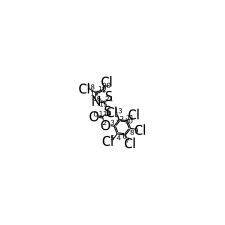 O=C(Oc1c(Cl)c(Cl)c(Cl)c(Cl)c1Cl)Sc1nc(Cl)c(Cl)s1